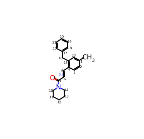 Cc1ccc(/C=C/C(=O)N2CCCCC2)c(Cc2ccccc2)c1